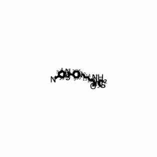 N#Cc1ccc2nc(C3CCN(CCCC[C@H](N)C(=O)N4CCSC4)CC3)sc2c1